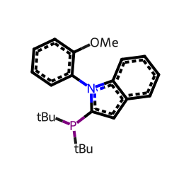 COc1ccccc1-n1c(P(C(C)(C)C)C(C)(C)C)cc2ccccc21